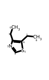 CCc1ncsc1CC